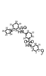 COc1ccc(NS(=O)(=O)c2cccc(NC(=O)c3cccc(-n4cccc4)c3)c2)cc1